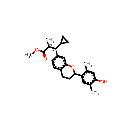 COC(=O)[C@@H](C)[C@H](c1ccc2c(c1)OC(c1cc(C)c(O)cc1C)CC2)C1CC1